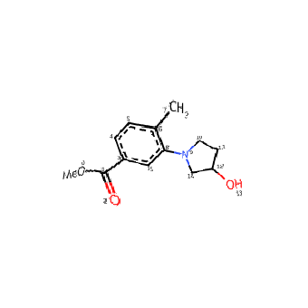 COC(=O)c1ccc(C)c(N2CCC(O)C2)c1